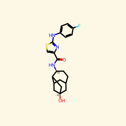 O=C(N[C@H]1CCC2CC3C[C@@](O)(C2)CC31)c1csc(Nc2ccc(F)cc2)n1